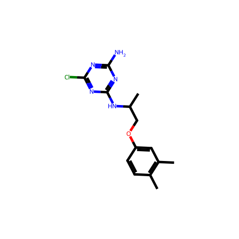 Cc1ccc(OCC(C)Nc2nc(N)nc(Cl)n2)cc1C